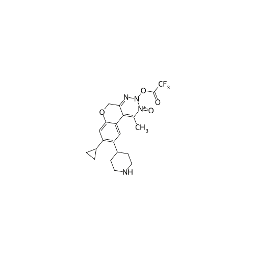 Cc1c2c(nn(OC(=O)C(F)(F)F)[n+]1=O)COc1cc(C3CC3)c(C3CCNCC3)cc1-2